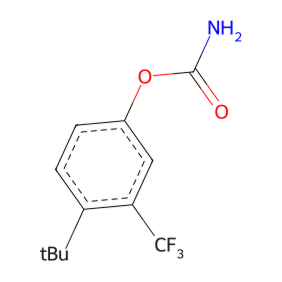 CC(C)(C)c1ccc(OC(N)=O)cc1C(F)(F)F